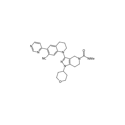 CNC(=O)N1CCc2c(c(N3CCCc4cc(-c5ccncn5)c(C#N)cc43)nn2C2CCOCC2)C1